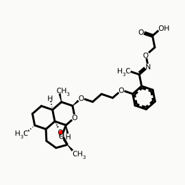 C/C(=N\OCC(=O)O)c1ccccc1OCCCO[C@H]1O[C@@H]2O[C@@]3(C)CCC4[C@H](C)CC[C@@H]([C@H]1C)[C@]42OO3